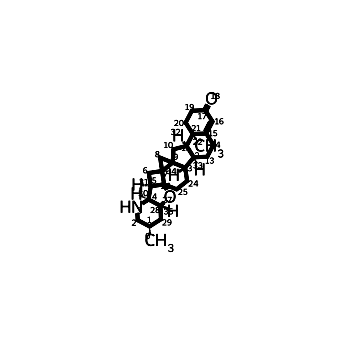 C[C@@H]1CN[C@H]2[C@H]3CC45CC46C[C@H]4[C@@H](CCC7=CC(=O)CC[C@@]74C)[C@@H]6CCC35O[C@@H]2C1